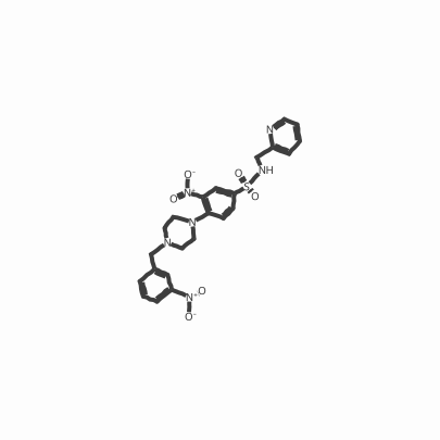 O=[N+]([O-])c1cccc(CN2CCN(c3ccc(S(=O)(=O)NCc4ccccn4)cc3[N+](=O)[O-])CC2)c1